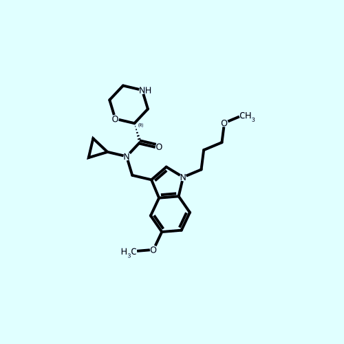 COCCCn1cc(CN(C(=O)[C@H]2CNCCO2)C2CC2)c2cc(OC)ccc21